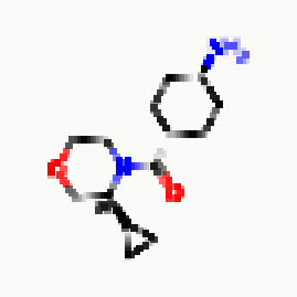 N[C@H]1CC[C@H](C(=O)N2CCOC[C@@H]2C2CC2)CC1